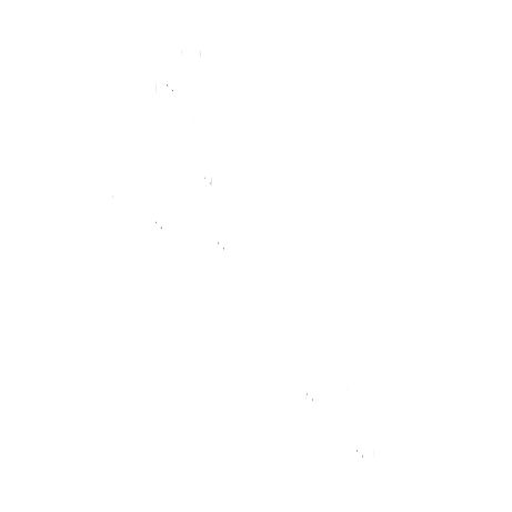 CCOC(=O)NC1=Nc2cc(OCCC(C(N)=O)N3CCCC3)ccc2CN1CC(=O)NC(C)(C)C